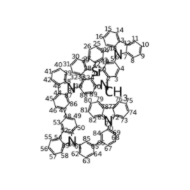 CN1c2ccc(-n3c4ccccc4c4ccccc43)cc2[Si](c2ccccc2)(c2ccccc2)c2cc(-n3c4ccccc4c4ccc(-c5ccc6c(c5)c5ccccc5n6-c5cccc(-c6cccc(-n7c8ccccc8c8ccccc87)c6)c5)cc43)ccc21